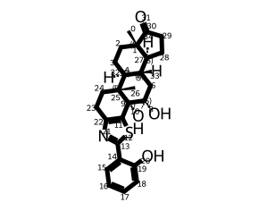 C[C@]12CC[C@H]3[C@@H](C[C@H](O)[C@@]4(O)c5sc(-c6ccccc6O)nc5CC[C@]34C)[C@@H]1CCC2=O